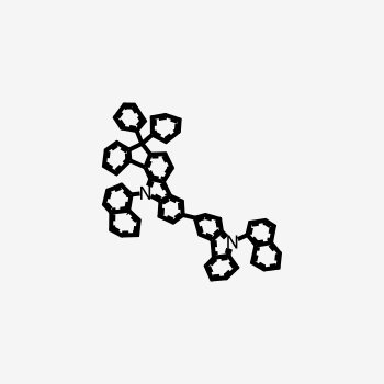 c1ccc(C2(c3ccccc3)c3ccccc3-c3c2ccc2c4cc(-c5ccc6c(c5)c5ccccc5n6-c5cccc6ccccc56)ccc4n(-c4cccc5ccccc45)c32)cc1